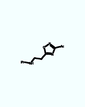 CC(=O)c1noc(CCNC(C)C)n1